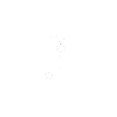 NC(=O)c1sc2nc(N3CCC(NC[C@H](O)c4cccc(Cl)n4)CC3)cc(C(F)(F)F)c2c1N